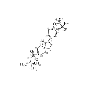 CC(Oc1ccc(N2CCC3(CCN(S(=O)(=O)CC(C)(C)C)CC3)C2=O)cc1)C(F)(F)F